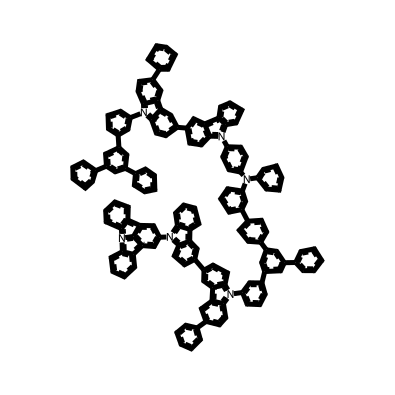 c1ccc(-c2cc(-c3ccccc3)cc(-c3cccc(-n4c5ccc(-c6ccccc6)cc5c5cc(-c6ccc7c(c6)c6ccccc6n7-c6ccc(N(c7ccccc7)c7cccc(-c8ccc(-c9cc(-c%10ccccc%10)cc(-c%10cccc(-n%11c%12ccc(-c%13ccccc%13)cc%12c%12cc(-c%13ccc%14c(c%13)c%13ccccc%13n%14-c%13cc%14c%15ccccc%15n%15c%16ccccc%16c(c%13)c%14%15)ccc%12%11)c%10)c9)cc8)c7)cc6)ccc54)c3)c2)cc1